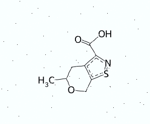 CC1Cc2c(C(=O)O)nsc2CO1